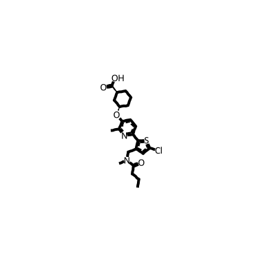 CCCC(=O)N(C)Cc1cc(Cl)sc1-c1ccc(O[C@H]2CCC[C@H](C(=O)O)C2)c(C)n1